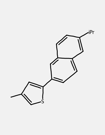 Cc1csc(-c2ccc3cc(C(C)C)ccc3c2)c1